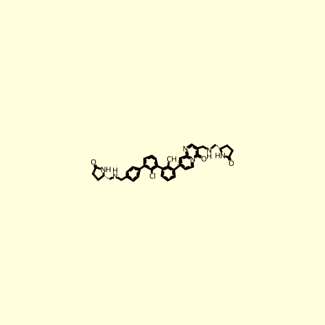 Cc1c(-c2ccn3c(=O)c(CNC[C@@H]4CCC(=O)N4)cnc3c2)cccc1-c1cccc(-c2ccc(CNC[C@@H]3CCC(=O)N3)cc2)c1Cl